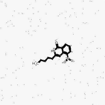 CCCCCc1cc2c([N+](=O)[O-])cccc2c(=O)[nH]1